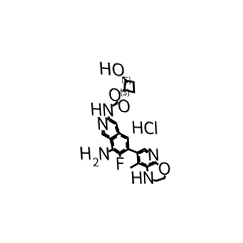 Cc1c(-c2cc3cc(NC(=O)O[C@H]4CC[C@@H]4O)ncc3c(N)c2F)cnc2c1NCCO2.Cl